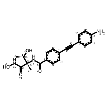 C[C@@H](O)[C@](C)(NC(=O)c1ccc(C#Cc2ccc(N)cc2)cc1)C(=O)NO